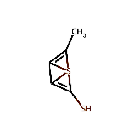 CC1=C2C3=C(S)S123